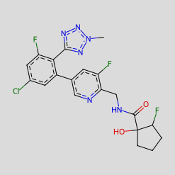 Cn1nnc(-c2c(F)cc(Cl)cc2-c2cnc(CNC(=O)C3(O)CCCC3F)c(F)c2)n1